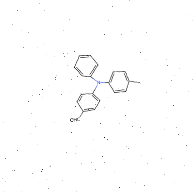 Cc1ccc(N(c2ccccc2)c2ccc(C=O)cc2)cc1